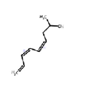 C=C/C=C\C=C/CC(C)O